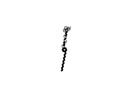 CCCCCCCCCCCCc1ccc(OCCOCCOCCCS(=O)(=O)O)cc1